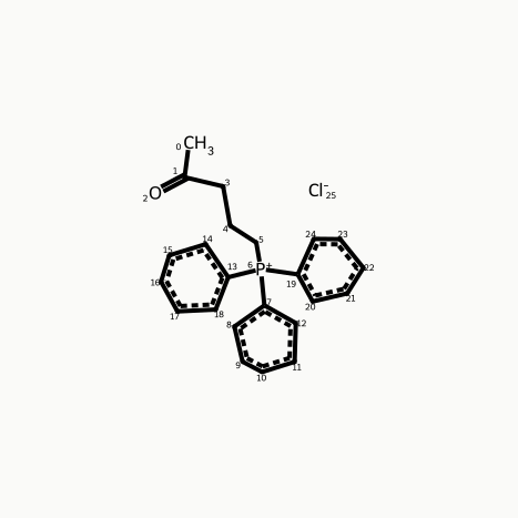 CC(=O)CCC[P+](c1ccccc1)(c1ccccc1)c1ccccc1.[Cl-]